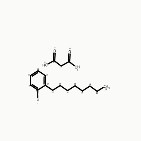 O=C(O)CC(=O)O.[Li][c]1ccccc1CCCCCCCC